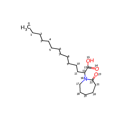 CCCCCCCCCCCCC(C(=O)O)N1CCCCCC1=O